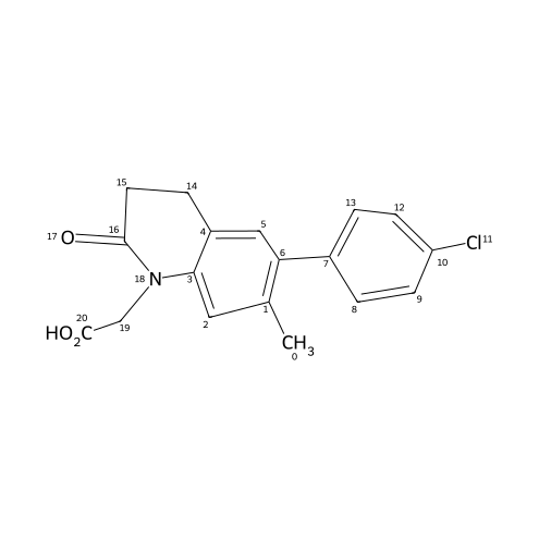 Cc1cc2c(cc1-c1ccc(Cl)cc1)CCC(=O)N2CC(=O)O